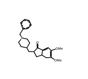 COC1=C(OC)CC2CC(CC3CCN(Cc4ccccc4)CC3)C(=O)C2=C1